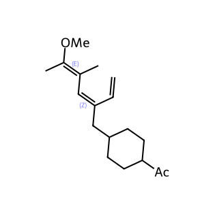 C=C/C(=C\C(C)=C(/C)OC)CC1CCC(C(C)=O)CC1